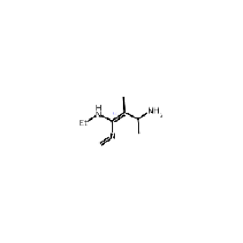 C=N/C(NCC)=C(/C)C(C)N